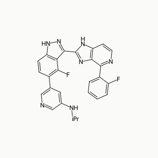 CC(C)Nc1cncc(-c2ccc3[nH]nc(-c4nc5c(-c6ccccc6F)nccc5[nH]4)c3c2F)c1